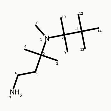 CN(C(C)(C)CCN)C(C)(C)C(C)(C)C